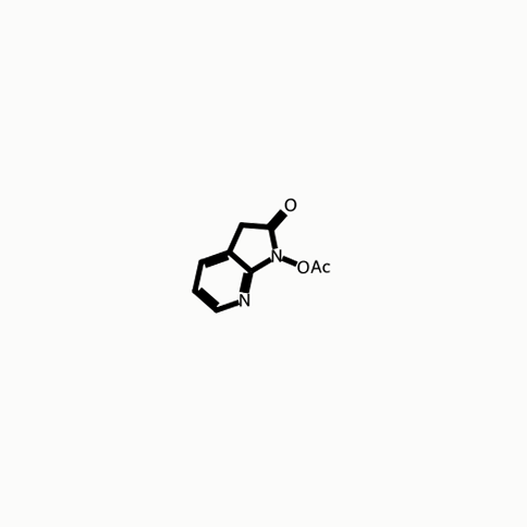 CC(=O)ON1C(=O)Cc2cccnc21